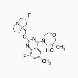 Cc1cc(F)c2nc(OC[C@@]34CCCN3C[C@H](F)C4)nc(N3CCOC[C@@](C)(O)C3)c2c1